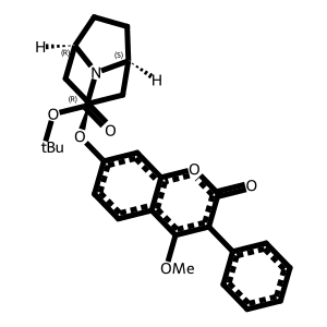 COc1c(-c2ccccc2)c(=O)oc2cc(O[C@H]3C[C@H]4CC[C@@H](C3)N4C(=O)OC(C)(C)C)ccc12